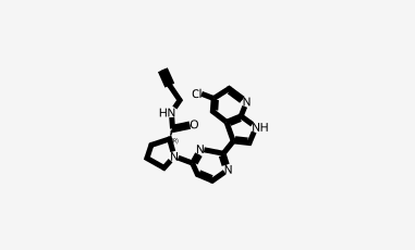 C#CCNC(=O)[C@H]1CCCN1c1ccnc(-c2c[nH]c3ncc(Cl)cc23)n1